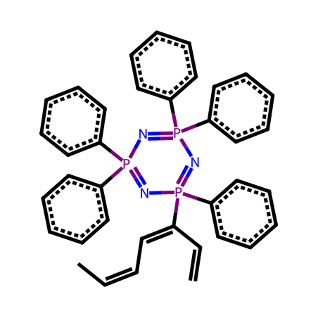 C=C/C(=C\C=C/C)P1(c2ccccc2)=NP(c2ccccc2)(c2ccccc2)=NP(c2ccccc2)(c2ccccc2)=N1